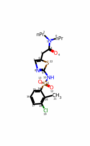 CCCN(CCC)C(=O)Cc1cnc(NS(=O)(=O)c2cccc(Cl)c2C)s1